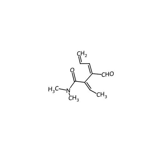 C=C/C=C(C=O)\C(=C/C)C(=O)N(C)C